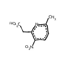 Cc1ccc([N+](=O)[O-])c(CC(=O)O)n1